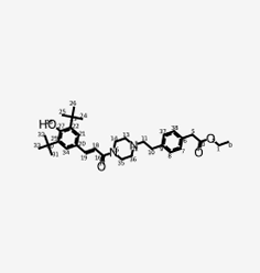 CCOC(=O)Cc1ccc(CCN2CCN(C(=O)/C=C/c3cc(C(C)(C)C)c(O)c(C(C)(C)C)c3)CC2)cc1